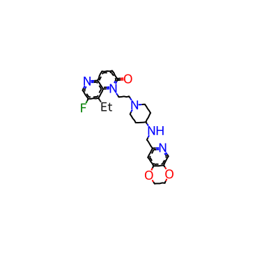 CCc1c(F)cnc2ccc(=O)n(CCN3CCC(NCc4cc5c(cn4)OCCO5)CC3)c12